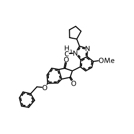 COc1ccc(C2C(=O)c3ccc(OCc4ccccc4)cc3C2=O)c2c1nc(C1CCCC1)n2C